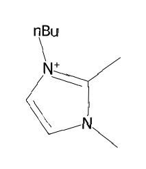 CCCC[n+]1ccn(C)c1C